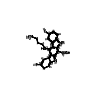 COc1c2c(c(NCCCN)c3c1[nH]c1ccc(F)cc13)=C1C=C(F)CC=C1N=2